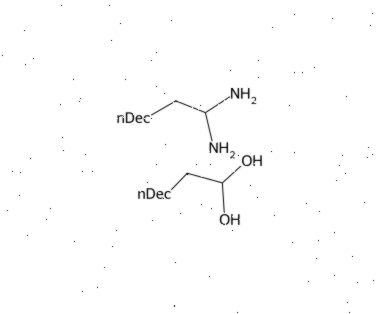 CCCCCCCCCCCC(N)N.CCCCCCCCCCCC(O)O